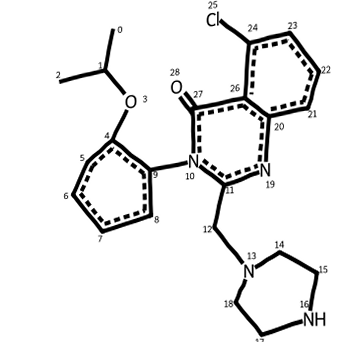 CC(C)Oc1ccccc1-n1c(CN2CCNCC2)nc2cccc(Cl)c2c1=O